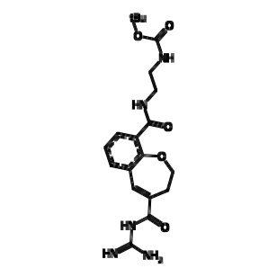 CC(C)(C)OC(=O)NCCNC(=O)c1cccc2c1OCCC(C(=O)NC(=N)N)=C2